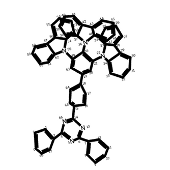 c1ccc(-c2nc(-c3ccccc3)nc(-c3ccc(-c4cc(-n5c6ccccc6c6ccccc65)c(-n5c6ccccc6c6ccccc65)c(-n5c6ccccc6c6ccccc65)c4)cc3)n2)cc1